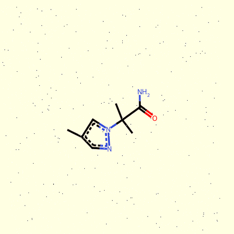 Cc1cnn(C(C)(C)C(N)=O)c1